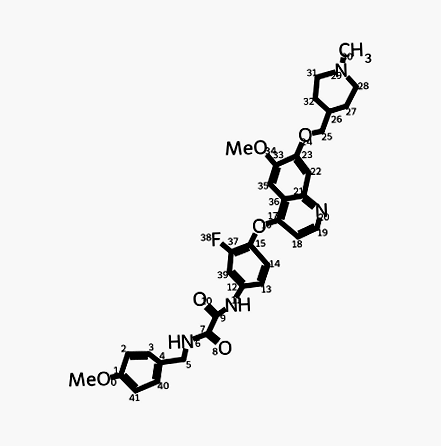 COc1ccc(CNC(=O)C(=O)Nc2ccc(Oc3ccnc4cc(OCC5CCN(C)CC5)c(OC)cc34)c(F)c2)cc1